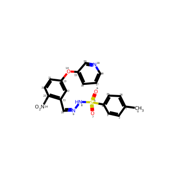 Cc1ccc(S(=O)(=O)N/N=C\c2cc(Oc3cccnc3)ccc2[N+](=O)[O-])cc1